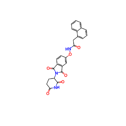 O=C(Cc1cccc2ccccc12)NOc1ccc2c(c1)C(=O)N(C1CCC(=O)NC1=O)C2=O